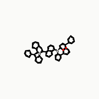 c1ccc(-c2ccc(N(c3ccccc3-c3ccccc3)c3cccc4c(-c5cc6ccccc6c6c(-c7ccccc7)c7ccccc7n56)cccc34)cc2)cc1